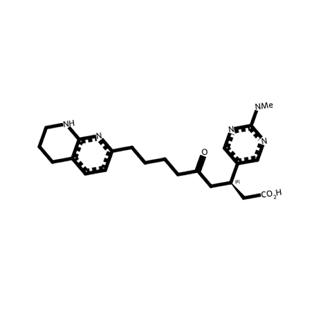 CNc1ncc([C@@H](CC(=O)O)CC(=O)CCCCc2ccc3c(n2)NCCC3)cn1